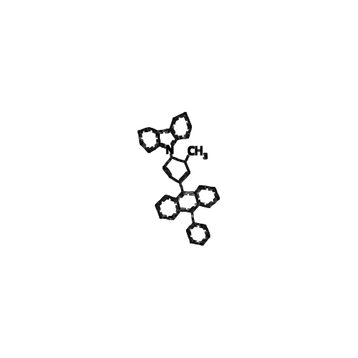 CC1C=C(c2c3ccccc3c(-c3ccccc3)c3ccccc23)C=CC1n1c2ccccc2c2ccccc21